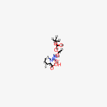 CC[C@@H](C)[C@@H](C(=O)O)N(C)[N+]([O-])=NOC(C)OC(=O)OC(C)(C)C